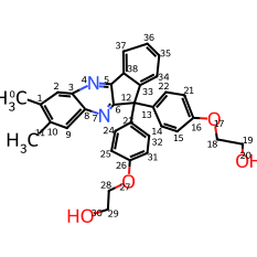 Cc1cc2nc3c(nc2cc1C)C(c1ccc(OCCO)cc1)(c1ccc(OCCO)cc1)c1ccccc1-3